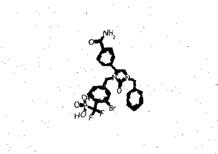 NC(=O)c1ccc(-c2cn(Cc3ccccc3)c(=O)n2Cc2ccc(C(F)(F)P(=O)(O)O)c(Br)c2)cc1